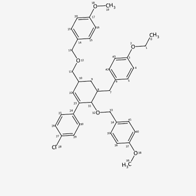 CCOc1ccc(CC2CC(COCc3ccc(OC)cc3)C=C(c3ccc(Cl)cc3)C2OCc2ccc(OC)cc2)cc1